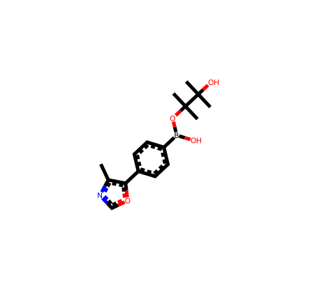 Cc1ncoc1-c1ccc(B(O)OC(C)(C)C(C)(C)O)cc1